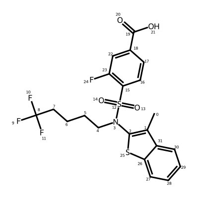 Cc1c(N(CCCCC(F)(F)F)S(=O)(=O)c2ccc(C(=O)O)cc2F)sc2ccccc12